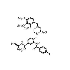 COc1ccc(CN2CCN(Cc3ccc(C(=O)NC(=N)N)cc3NC(=O)c3ccc(F)cc3)CC2)c(OC)c1OC.Cl